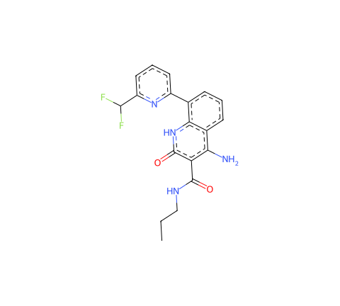 CCCNC(=O)c1c(N)c2cccc(-c3cccc(C(F)F)n3)c2[nH]c1=O